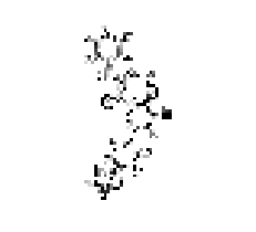 O=C1c2cc(-c3ccc(OC(F)(F)F)cc3)cc(F)c2OCCN1Cc1ccccc1